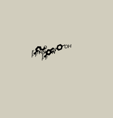 O=C(Nc1cc2cn([C@H]3CC[C@H](CO)CC3)nc2cc1C(F)(F)F)c1cccc(C(F)(F)F)n1